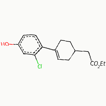 CCOC(=O)CC1CC=C(c2ccc(O)cc2Cl)CC1